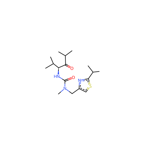 CC(C)C(=O)[C@@H](NC(=O)N(C)Cc1csc(C(C)C)n1)C(C)C